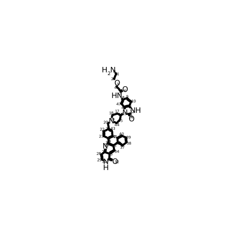 NCCOCC(=O)Nc1ccc2[nH]c(=O)n(C3CCN(Cc4ccc(-c5nc6cc[nH]c(=O)c6cc5-c5ccccc5)cc4)CC3)c2c1